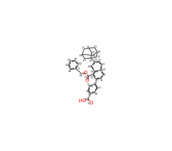 O=C(O)c1ccc(-c2ccc3ccc(C45CC6CC(CC(C6)C4)C5)cc3c2C(=O)OCc2ccccc2)cc1